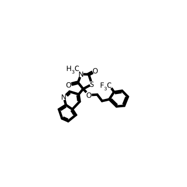 CN1C(=O)SC(OCCc2ccccc2C(F)(F)F)(c2cnc3ccccc3c2)C1=O